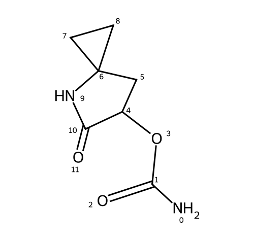 NC(=O)OC1CC2(CC2)NC1=O